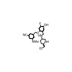 CC/C=C1\CCC(NCc2cc(O)c(F)cc2OCc2cc(C#N)cc(NC)c2)CN1